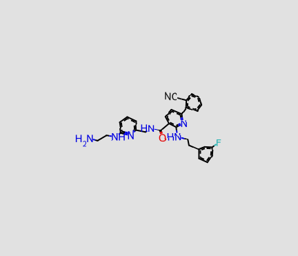 N#Cc1ccccc1-c1ccc(C(=O)NCc2cccc(NCCN)n2)c(NCCc2cccc(F)c2)n1